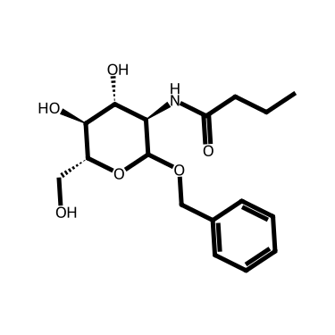 CCCC(=O)N[C@H]1C(OCc2ccccc2)O[C@H](CO)[C@@H](O)[C@@H]1O